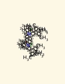 [2H]c1c([2H])c([2H])c(N(c2ccc(-c3cc(C)cc(C)c3)c(-c3cc(C)cc(C)c3)c2F)c2ccc3ccc4c(N(c5ccc(-c6cc(C)cc(C)c6)c(-c6cc(C)cc(C)c6)c5F)c5c([2H])c([2H])c([2H])c([2H])c5[2H])ccc5ccc2c3c54)c([2H])c1[2H]